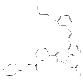 O=C(O)C[C@H](NC(=O)[C@@H]1CCCN(C(=O)CCC2CCNCC2)C1)c1cncc(/C=C/c2cccc(OCCF)c2)c1